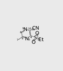 CCS(=O)(=O)c1nc(C)cnc1C#N